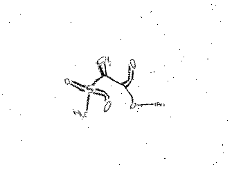 C=C(C(=O)OC(C)(C)C)S(C)(=O)=O